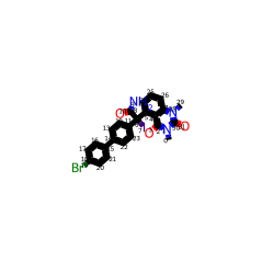 Cn1c(=O)c2c(C(I)(C(N)=O)c3ccc(-c4ccc(Br)cc4)cc3)cccc2n(C)c1=O